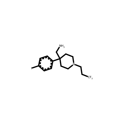 NCC1(c2ccc(I)cc2)CCN(CCC(F)(F)F)CC1